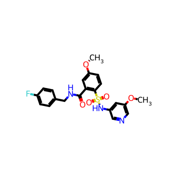 COc1cncc(NS(=O)(=O)c2ccc(OC)cc2C(=O)NCc2ccc(F)cc2)c1